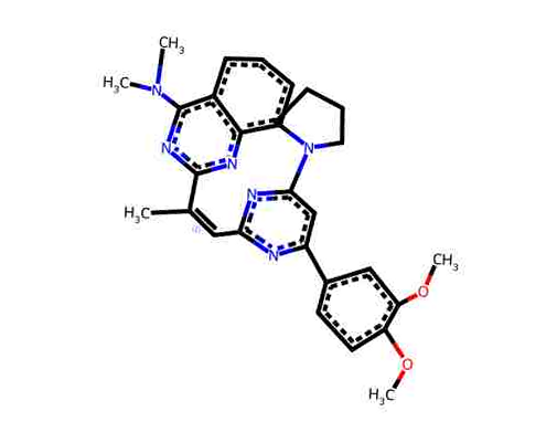 COc1ccc(-c2cc(N3CCCC3)nc(/C=C(/C)c3nc(N(C)C)c4ccccc4n3)n2)cc1OC